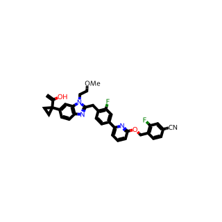 C=C(O)C1(c2ccc3nc(Cc4ccc(-c5cccc(OCc6ccc(C#N)cc6F)n5)cc4F)n(CCOC)c3c2)CC1